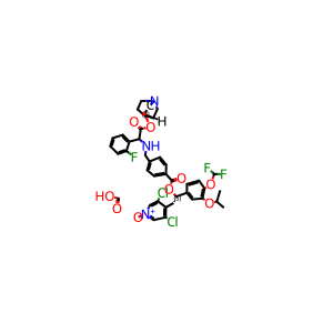 CC(C)Oc1cc([C@H](Cc2c(Cl)c[n+]([O-])cc2Cl)OC(=O)c2ccc(CNC(C(=O)O[C@H]3CN4CCC3CC4)c3ccccc3F)cc2)ccc1OC(F)F.O=CO